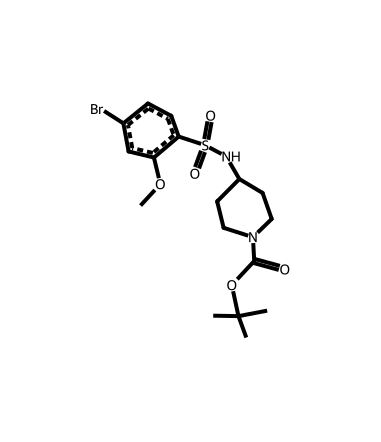 COc1cc(Br)ccc1S(=O)(=O)NC1CCN(C(=O)OC(C)(C)C)CC1